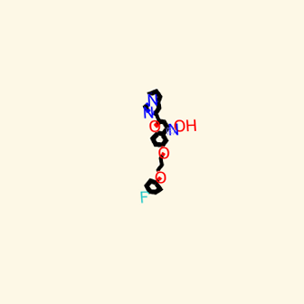 O/N=c1\cc(-c2cc3cccn3cn2)oc2ccc(OCCCOc3ccc(F)cc3)cc12